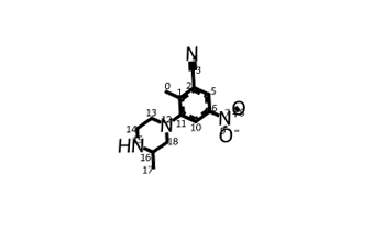 Cc1c(C#N)cc([N+](=O)[O-])cc1N1CCNC(C)C1